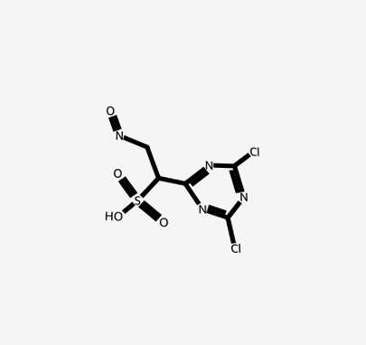 O=NCC(c1nc(Cl)nc(Cl)n1)S(=O)(=O)O